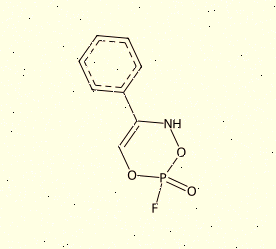 O=P1(F)OC=C(c2ccccc2)NO1